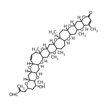 C=C(C=O)C[C@@H]1C[C@H](O)[C@]2(C)O[C@@H]3C[C@@H]4O[C@@H]5C[C@]6(C)O[C@]7(C)CC[C@@H]8O[C@@H]9C[C@]%10(C)O[C@@H]%11C(C)=CC(=O)O[C@H]%11C[C@H]%10O[C@H]9C[C@@H](C)[C@H]8O[C@H]7C[C@H]6O[C@@]5(C)C/C=C\[C@H]4O[C@H]3C[C@H]2O1